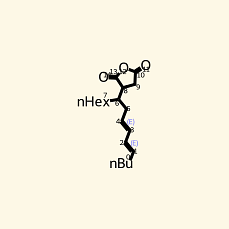 CCCC/C=C/C=C/CC(CCCCCC)C1CC(=O)OC1=O